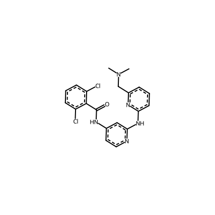 CN(C)Cc1cccc(Nc2cc(NC(=O)c3c(Cl)cccc3Cl)ccn2)n1